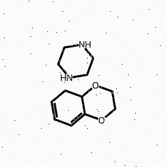 C1=CCC2OCCOC2=C1.C1CNCCN1